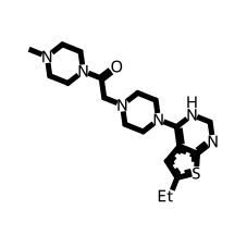 CCc1cc2c(s1)=NCNC=2N1CCN(CC(=O)N2CCN(C)CC2)CC1